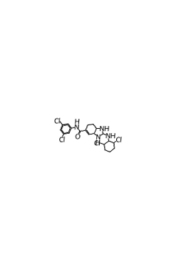 O=C(Nc1cc(Cl)cc(Cl)c1)C1=CC2NC(NC3C(Cl)CCCC3Cl)NC2CC1